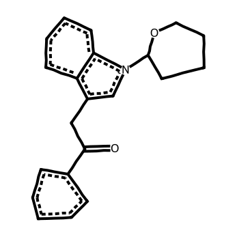 O=C(Cc1cn(C2CCCCO2)c2ccccc12)c1ccccc1